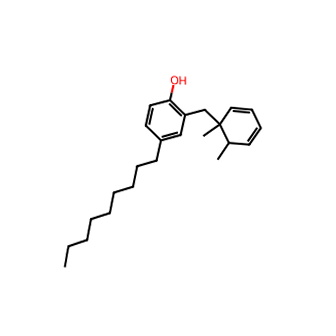 CCCCCCCCCc1ccc(O)c(CC2(C)C=CC=CC2C)c1